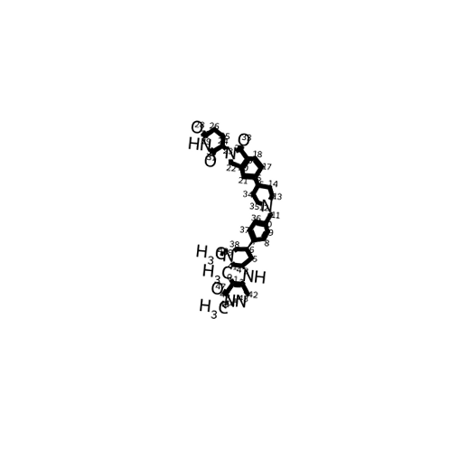 Cc1c(N[C@@H]2C[C@H](c3ccc(CN4CCC(c5ccc6c(c5)CN(C5CCC(=O)NC5=O)C6=O)CC4)cc3)CN(C)C2)cnn(C)c1=O